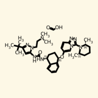 C[C@@H]1CCC[C@H](C)N1c1nnc2ccc(O[C@@H]3CC[C@H](NC(=O)Nc4cc(C(C)(C)C)nn4CCN(C)C)c4ccccc43)cn12.O=CO